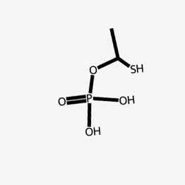 CC(S)OP(=O)(O)O